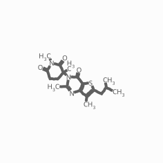 Cc1c(CC(C)C)sc2c(=O)n(C3(C)CCC(=O)N(C)C3=O)c(C)nc12